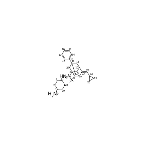 N[C@H]1CC[C@H](NC(=S)C23CC4CC(c5ccccc5)(CC(C2)C4=CC2CC2)C3)CC1